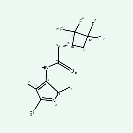 CCc1nn(C)c(NC(=O)C[C@H]2CC(F)(F)C2(F)F)c1C